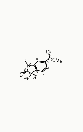 COC(=O)c1ccc2c(c1)N(C)C(=O)C2(F)F